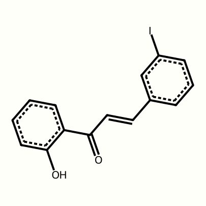 O=C(/C=C/c1cccc(I)c1)c1ccccc1O